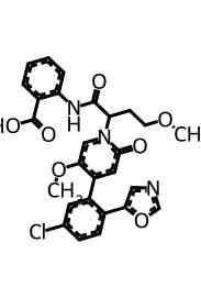 COCCC(C(=O)Nc1ccccc1C(=O)O)n1cc(OC)c(-c2cc(Cl)ccc2-c2cnco2)cc1=O